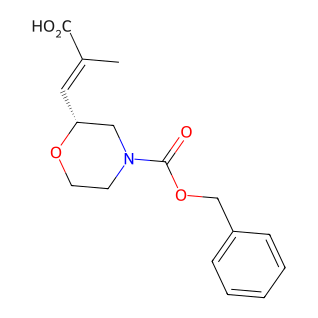 C/C(=C\[C@@H]1CN(C(=O)OCc2ccccc2)CCO1)C(=O)O